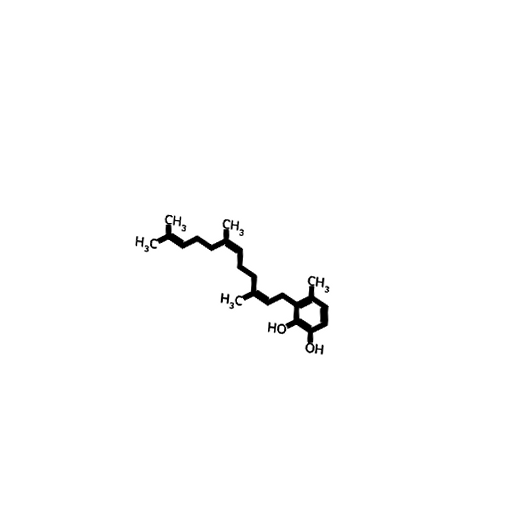 CC(C)=CCCC(C)=CCCC(C)=CCc1c(C)ccc(O)c1O